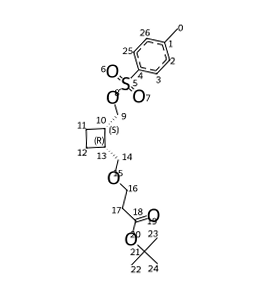 Cc1ccc(S(=O)(=O)OC[C@H]2CC[C@H]2COCCC(=O)OC(C)(C)C)cc1